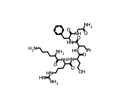 CC(C)CC(NC(=O)C(CCO)NC(=O)C(CCCNC(=N)N)NC(=O)C(N)CCCCN)C(=O)NC(Cc1ccccc1)C(=O)NCC(N)=O